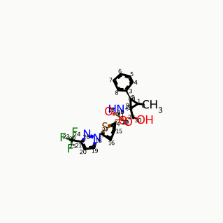 CC1[C@H](c2ccccc2)[C@]1(NS(=O)(=O)c1ccc(-n2ccc(C(F)(F)F)n2)s1)C(=O)O